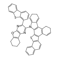 C1=Cc2c(c3c4c(n(-c5nc6c7c(oc6nc5-c5cccc6c5sc5ccccc56)CCCC7)c3c3sc5c6ccccc6ccc5c23)=CCCC=4)CC1